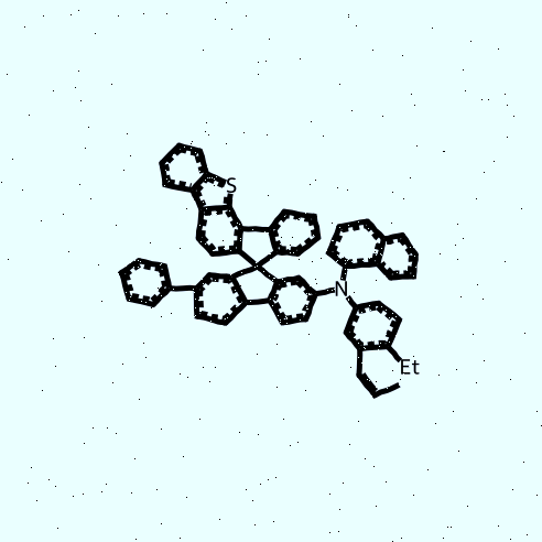 C/C=C\c1cc(N(c2ccc3c(c2)C2(c4cc(-c5ccccc5)ccc4-3)c3ccccc3-c3c2ccc2c3sc3ccccc32)c2cccc3ccccc23)ccc1CC